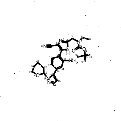 CCN(Cc1nc(C#N)c(-c2ccc(-c3ccnn3C3CCCCO3)cc2N)[nH]1)C(=O)OC(C)(C)C